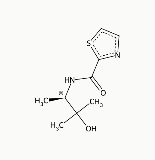 C[C@@H](NC(=O)c1nccs1)C(C)(C)O